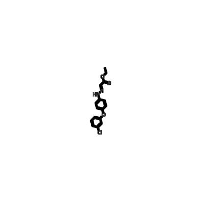 CCOC(=O)C=NNc1ccc(Oc2cccc(Cl)c2)cc1